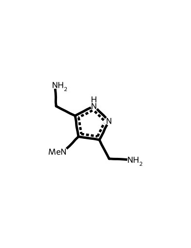 CNc1c(CN)n[nH]c1CN